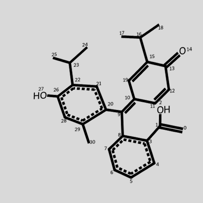 C=C(O)c1ccccc1/C(=C1\C=CC(=O)C(C(C)C)=C1)c1cc(C(C)C)c(O)cc1C